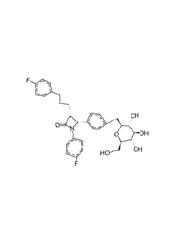 O=C1[C@H](CCCc2ccc(F)cc2)[C@H](c2ccc(C[C@@H]3O[C@H](CO)[C@@H](O)[C@H](O)[C@H]3O)cc2)N1c1ccc(F)cc1